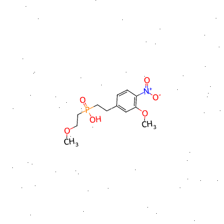 COCCP(=O)(O)CCc1ccc([N+](=O)[O-])c(OC)c1